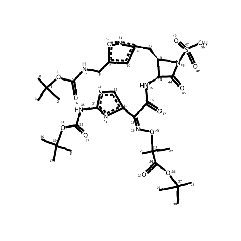 CC(C)(C)OC(=O)NCc1cc(C[C@@H]2[C@H](NC(=O)C(=NOC(C)(C)C(=O)OC(C)(C)C)c3csc(NC(=O)OC(C)(C)C)n3)C(=O)N2S(=O)(=O)O)no1